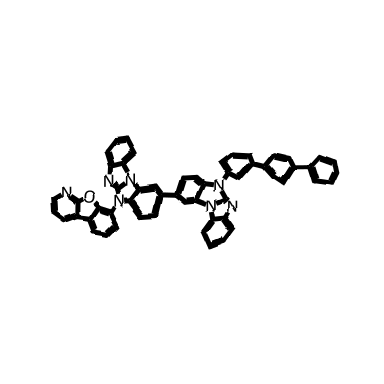 c1ccc(-c2ccc(-c3cccc(-n4c5ccc(-c6ccc7c(c6)n6c8ccccc8nc6n7-c6cccc7c6oc6ncccc67)cc5n5c6ccccc6nc45)c3)cc2)cc1